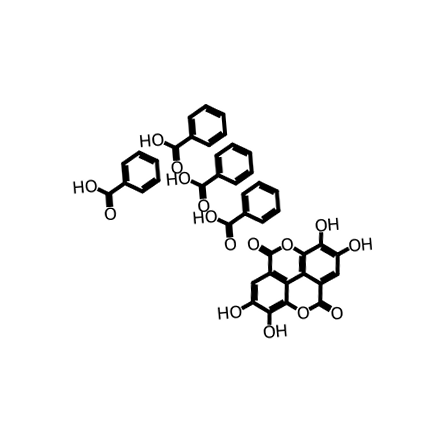 O=C(O)c1ccccc1.O=C(O)c1ccccc1.O=C(O)c1ccccc1.O=C(O)c1ccccc1.O=c1oc2c(O)c(O)cc3c(=O)oc4c(O)c(O)cc1c4c23